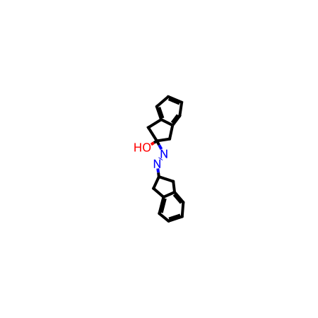 OC1(/N=N/C2Cc3ccccc3C2)Cc2ccccc2C1